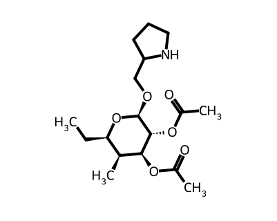 CC[C@H]1O[C@@H](OCC2CCCN2)[C@H](OC(C)=O)[C@@H](OC(C)=O)[C@H]1C